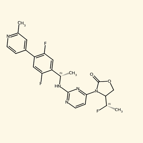 Cc1cc(-c2cc(F)c([C@H](C)Nc3nccc(N4C(=O)OCC4[C@H](C)F)n3)cc2F)ccn1